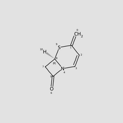 C=C1C=CN2C(=O)C[C@H]2S1